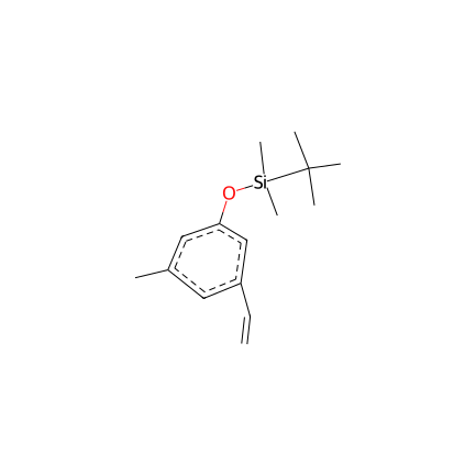 C=Cc1cc(C)cc(O[Si](C)(C)C(C)(C)C)c1